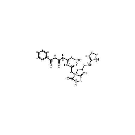 O=C([O-])CC(NC(=O)C[N+]1(CCCNC2=NCCN2)C(=O)CNC1=O)NC(=O)OC(=O)c1ccccc1